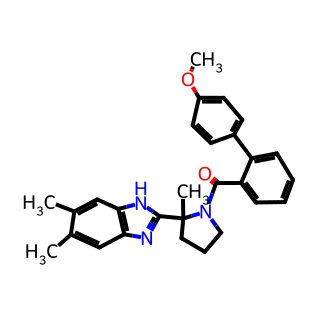 COc1ccc(-c2ccccc2C(=O)N2CCCC2(C)c2nc3cc(C)c(C)cc3[nH]2)cc1